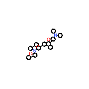 c1ccc(-c2ccccc2N(c2ccc(-c3ccc4c(c3)c3ccccc3c3c5ccc(N(c6ccccc6)c6ccccc6)cc5oc43)cc2)c2cccc3c2oc2ccccc23)cc1